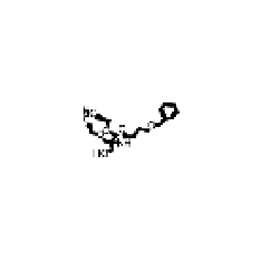 C#CCOCC(CO)(COCC#C)NC(=O)CCCOCc1ccccc1